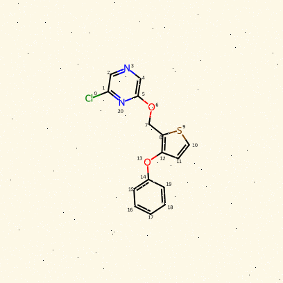 Clc1cncc(OCc2sccc2Oc2ccccc2)n1